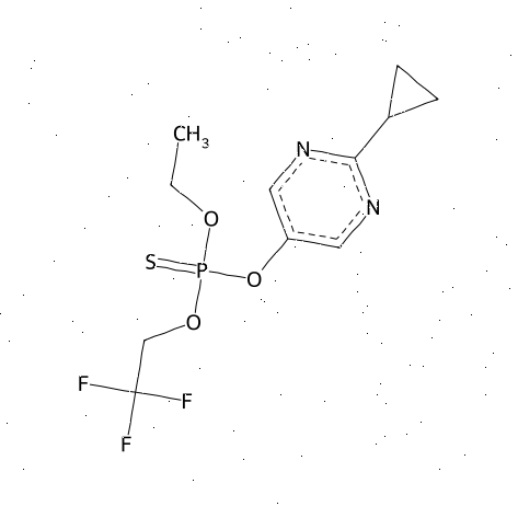 CCOP(=S)(OCC(F)(F)F)Oc1cnc(C2CC2)nc1